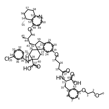 COCCOc1cccc(C[C@@H](NC(=O)CCCOc2ccc3c(c2)C2(CCC(Nc4cccc(Cl)c4)(C(=O)O)CC2)[C@@H](C[C@@H](C)COc2ccnc4c2[C@H](C)CCC4)C3)C(=O)O)c1